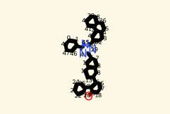 C1=CC(c2nc(-c3ccc4c(c3)C=CC(c3cccc5oc6ccccc6c35)C4)nc(-c3ccc4ccc5ccccc5c4c3)n2)=CCC1